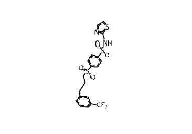 O=S(=O)(CCCc1cccc(C(F)(F)F)c1)c1ccc(S(=O)(=O)Nc2nccs2)cc1